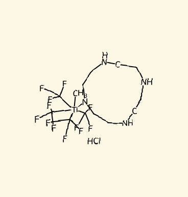 Cl.[CH3][Ti]([N]1CCNCCNCCNCC1)([C](F)(F)F)([C](F)(F)F)([C](F)(F)F)[C](F)(F)F